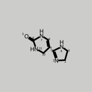 C1=NCCN1.O=C1NC=CCN1